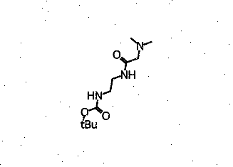 CN(C)CC(=O)NCCNC(=O)OC(C)(C)C